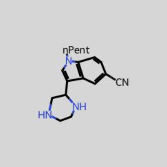 CCCCCn1cc(C2CNCCN2)c2cc(C#N)ccc21